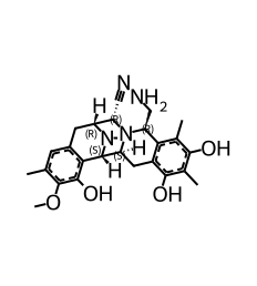 COc1c(C)cc2c(c1O)[C@H]1[C@@H]3Cc4c(O)c(C)c(O)c(C)c4[C@H](CN)N3[C@@H](C#N)[C@@H](C2)N1C